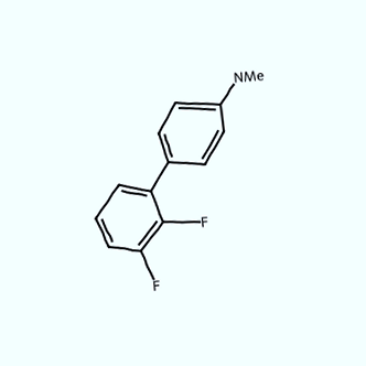 CNc1ccc(-c2cccc(F)c2F)cc1